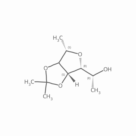 C[C@@H]1O[C@H]([C@@H](C)O)[C@@H]2OC(C)(C)OC12